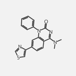 CN(C)c1nc(=O)n(-c2ccccc2)c2cc(-c3cscn3)ccc12